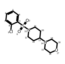 O=S(=O)(c1ccccc1Cl)N1CCC(N2CCOCC2)CC1